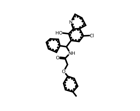 Cc1ccc(OCC(=O)NC(c2ccccc2)c2cc(Cl)c3cccnc3c2O)cc1